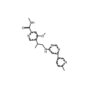 CNC(=O)c1cc(OC)c(C(C)CNc2cc(-c3ccc(C)nc3)ncn2)cn1